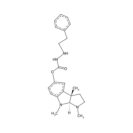 CN1CC[C@@]2(C)c3cc(OC(=O)NNCCc4ccccc4)ccc3N(C)[C@H]12